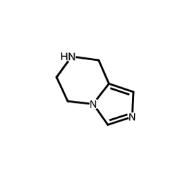 c1ncn2c1CNCC2